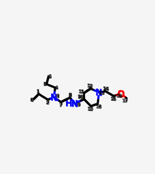 CCCN(CCC)CCNC1CCN(CCOC)CC1